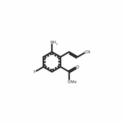 COC(=O)c1cc(F)cc(N)c1/C=C/C#N